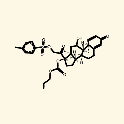 CCCOC(=O)O[C@]1(C(=O)COS(=O)(=O)c2ccc(C)cc2)CC[C@H]2[C@@H]3CCC4=CC(=O)C=C[C@]4(C)[C@H]3C(O)C[C@@]21C